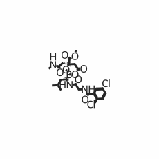 CNC(=O)C[C@]1(C(=O)OC)CC(=O)OB([C@H](CC(C)C)NC(=O)CNC(=O)c2cc(Cl)ccc2Cl)O1